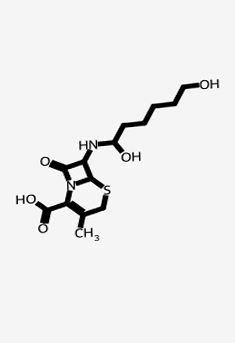 CC1=C(C(=O)O)N2C(=O)C(NC(O)CCCCCO)C2SC1